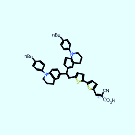 CCCCc1ccc(N2CCCc3cc(C(=Cc4ccc(-c5ccc(/C=C(\C#N)C(=O)O)s5)s4)c4ccc5c(c4)CCCN5c4ccc(CCCC)cc4)ccc32)cc1